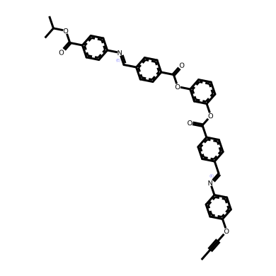 CC#COc1ccc(/N=C/c2ccc(C(=O)Oc3cccc(OC(=O)c4ccc(/C=N/c5ccc(C(=O)OC(C)C)cc5)cc4)c3)cc2)cc1